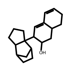 OC1CC2CCC=CC2=CC1C12CCCC1C1CCC2C1